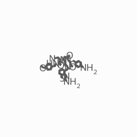 COc1ccc(CNC(=O)N(CC#N)N2CC(=O)N3[C@@H](Cc4ccc(N)cc4)C(=O)N(Cc4cccc5sc(N)nc45)C[C@@H]32)cc1